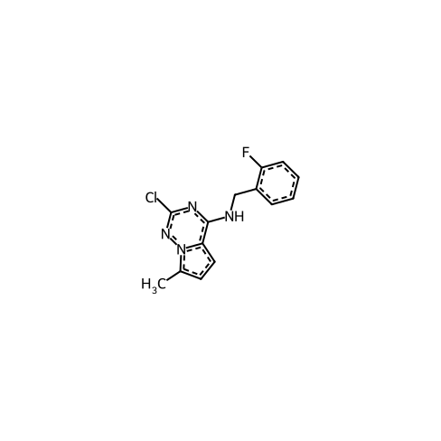 Cc1ccc2c(NCc3ccccc3F)nc(Cl)nn12